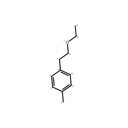 [CH2]c1ccc(CCOCC)cc1